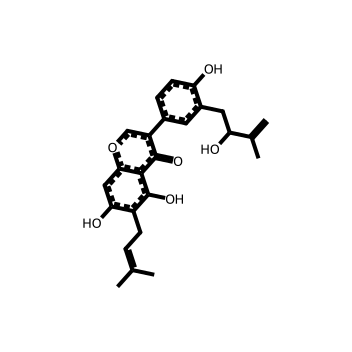 C=C(C)C(O)Cc1cc(-c2coc3cc(O)c(CC=C(C)C)c(O)c3c2=O)ccc1O